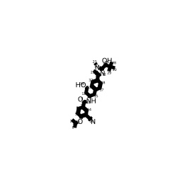 CC(C)Oc1ccc(C(=O)NC(CCO)Cc2ccc(-c3cn(C)c(C(O)C(C)(C)C)n3)cc2)cc1C#N